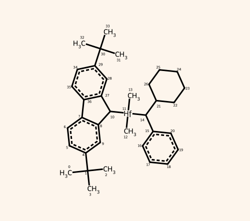 CC(C)(C)c1ccc2c(c1)[CH]([Hf]([CH3])([CH3])[CH](c1ccccc1)C1CCCCC1)c1cc(C(C)(C)C)ccc1-2